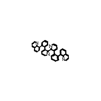 c1ccc(-c2cccc3cccnc23)c(-c2cccnc2-c2ncccc2-c2ccccc2-c2cccc3cccnc23)c1